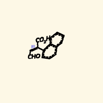 O=C/C=C(/C(=O)O)c1cccc2ccccc12